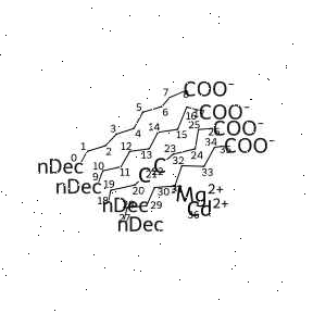 CCCCCCCCCCCCCCCCCC(=O)[O-].CCCCCCCCCCCCCCCCCC(=O)[O-].CCCCCCCCCCCCCCCCCC(=O)[O-].CCCCCCCCCCCCCCCCCC(=O)[O-].[Cd+2].[Mg+2]